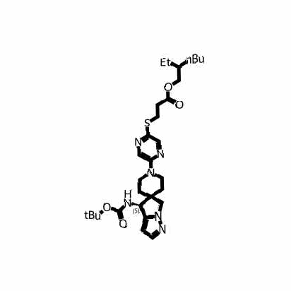 CCCCC(CC)COC(=O)CCSc1cnc(N2CCC3(CC2)Cn2nccc2[C@H]3NC(=O)OC(C)(C)C)cn1